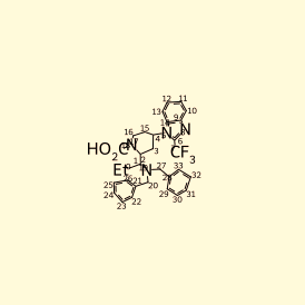 CCC(C1CC(n2c(C(F)(F)F)nc3ccccc32)CCN1C(=O)O)N(Cc1ccccc1)Cc1ccccc1